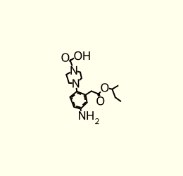 CCC(C)OC(=O)Cc1cc(N)ccc1N1CCN(C(=O)O)CC1